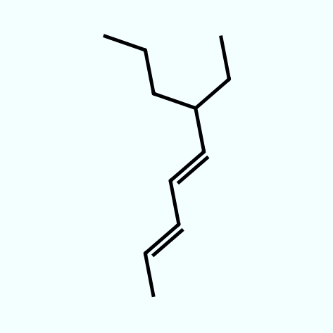 CC=CC=CC(CC)CCC